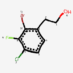 OCCc1ccc(Cl)c(F)c1Br